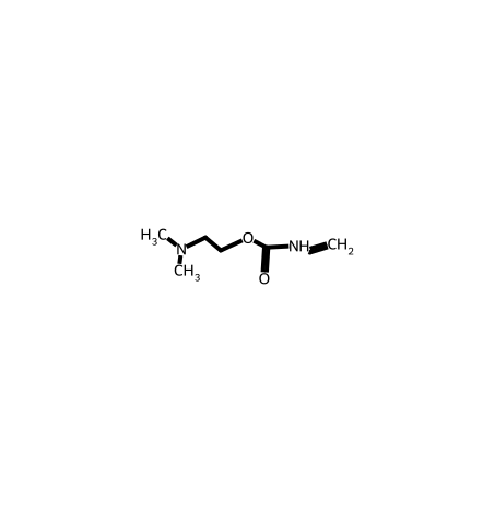 C=CNC(=O)OCCN(C)C